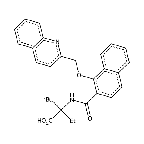 CCCCC(CC)(NC(=O)c1ccc2ccccc2c1OCc1ccc2ccccc2n1)C(=O)O